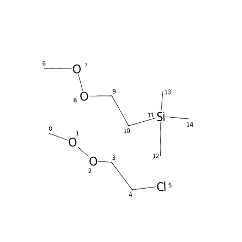 COOCCCl.COOCC[Si](C)(C)C